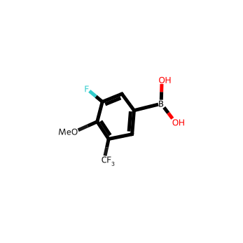 COc1c(F)cc(B(O)O)cc1C(F)(F)F